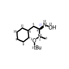 CN(OC(C)(C)C)/C(CC1CCCCC1)=N\O